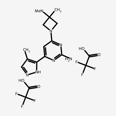 CNC1(C)CN(c2cc(-c3[nH]ncc3C)nc(N)n2)C1.O=C(O)C(F)(F)F.O=C(O)C(F)(F)F